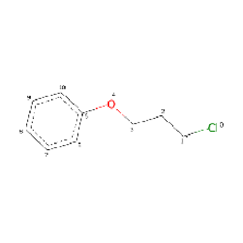 Cl[CH]CCOc1ccccc1